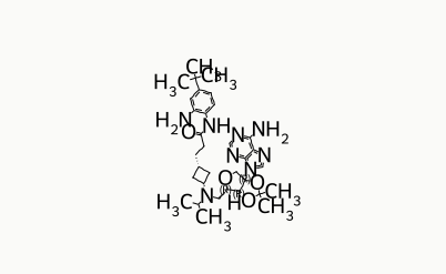 CC(C)N(C[C@H]1OC[C@@]2(n3cnc4c(N)ncnc43)OC(C)(C)O[C@H]12)[C@H]1C[C@@H](CCC(=O)Nc2ccc(C(C)(C)C)cc2N)C1